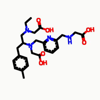 CCN(CC(=O)O)CC(Cc1ccc(C)cc1)N(CC(=O)O)Cc1cccc(CNCC(=O)O)n1